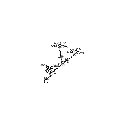 COc1ccc(C(OCC(CNC(=O)CCCCCCC(=O)NC(COCCC(=O)NCCCCCCOC2OC(COC(C)=O)C(OC(C)=O)C(OC(C)=O)C2NC(C)=O)COCCC(=O)NCCCCCCOC2OC(COC(C)=O)C(OC(C)=O)C(OC(C)=O)C2NC(C)=O)OC(=O)CCC(=O)NC2CCCCCCC2)(c2ccccc2)c2ccc(OC)cc2)cc1